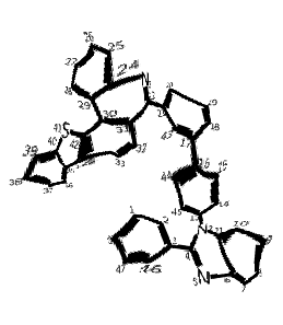 c1ccc(-c2nc3ccccc3n2-c2ccc(-c3cccc(-c4nc5ccccc5c5c4ccc4c6ccccc6sc45)c3)cc2)cc1